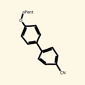 [CH2]CCCCOc1ccc(-c2ccc(C#N)cc2)cc1